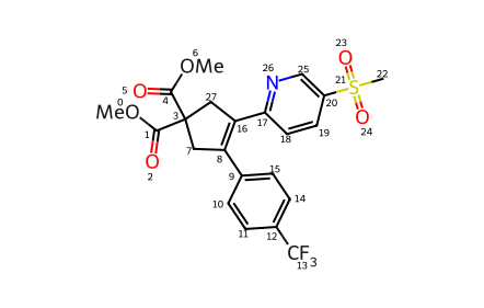 COC(=O)C1(C(=O)OC)CC(c2ccc(C(F)(F)F)cc2)=C(c2ccc(S(C)(=O)=O)cn2)C1